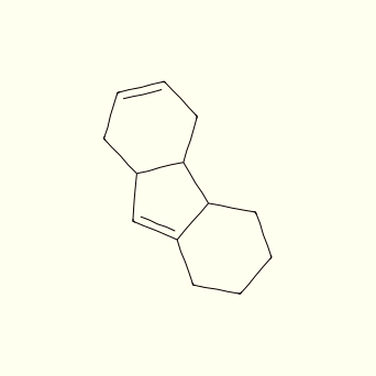 C1=CCC2C(C=C3CCCCC32)C1